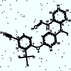 CN(c1ccc(Oc2ccc(C#N)cc2C(C)(C)C)nc1)c1ncncc1NC=O